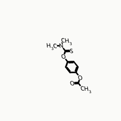 CC(=O)Oc1ccc(OC(=S)N(C)C)cc1